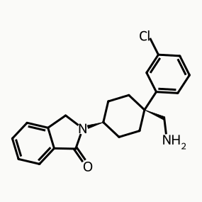 NC[C@]1(c2cccc(Cl)c2)CC[C@H](N2Cc3ccccc3C2=O)CC1